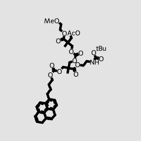 COCCOC(=O)C(C)(COC(C)=O)COC(=O)OCC(C)(COC(=O)OCCCCc1ccc2c3c4c(ccc13)C=CCC4=CC2)C(=O)OCCNC(=O)OC(C)(C)C